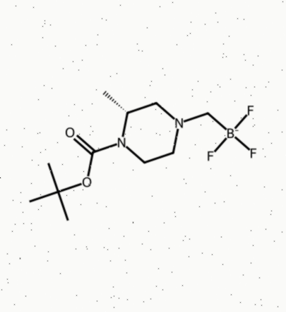 C[C@@H]1CN(C[B-](F)(F)F)CCN1C(=O)OC(C)(C)C